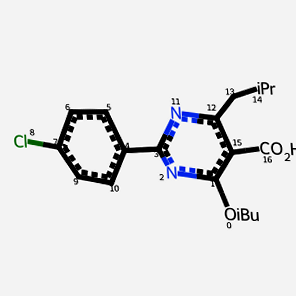 CC(C)COc1nc(-c2ccc(Cl)cc2)nc(CC(C)C)c1C(=O)O